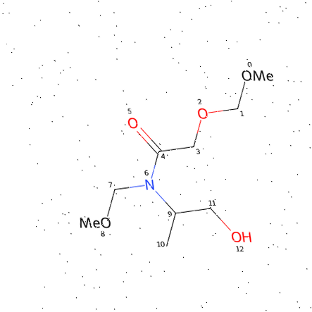 COCOCC(=O)N(COC)C(C)CO